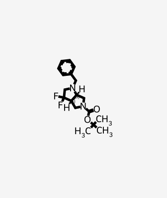 CC(C)(C)OC(=O)N1C[C@@H]2[C@H](C1)C(F)(F)CN2Cc1ccccc1